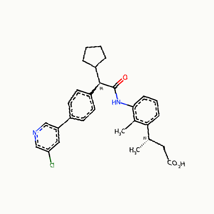 Cc1c(NC(=O)[C@@H](c2ccc(-c3cncc(Cl)c3)cc2)C2CCCC2)cccc1[C@@H](C)CC(=O)O